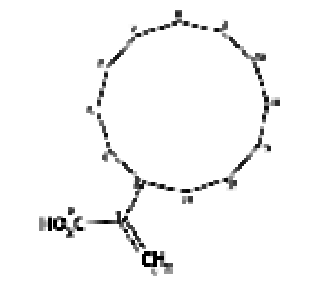 C=C(C(=O)O)C1CCCCCCCCCCC1